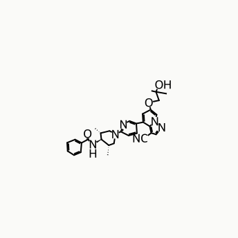 C[C@@H]1CN(c2ccc(-c3cc(OCC(C)(C)O)cn4ncc(C#N)c34)cn2)C[C@H](C)[C@H]1NC(=O)c1ccccc1